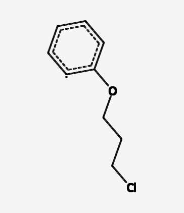 ClCCCOc1[c]cccc1